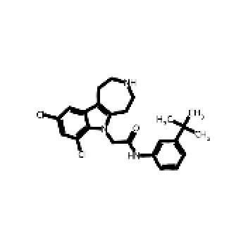 CC(C)(C)c1cccc(NC(=O)Cn2c3c(c4cc(Cl)cc(Cl)c42)CCNCC3)c1